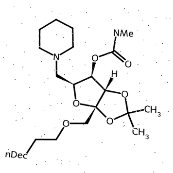 CCCCCCCCCCCCOC[C@@]12O[C@@H](CN3CCCCC3)[C@@H](OC(=O)NC)[C@@H]1OC(C)(C)O2